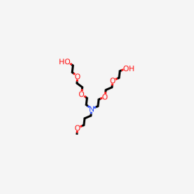 COCCCN(CCOCCOCCO)CCOCCOCCO